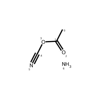 CC(=O)OC#N.N